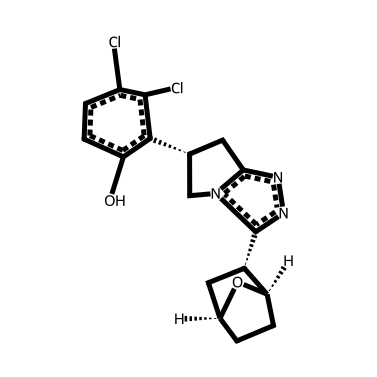 Oc1ccc(Cl)c(Cl)c1[C@@H]1Cc2nnc([C@H]3C[C@@H]4CC[C@H]3O4)n2C1